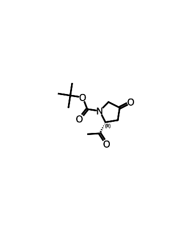 CC(=O)[C@H]1CC(=O)CN1C(=O)OC(C)(C)C